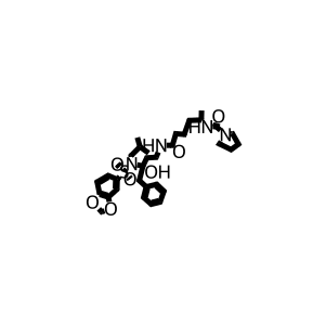 CC(C)CN(C(O)(CCNC(=O)CCCC(C)NC(=O)N1CCCC1)Cc1ccccc1)S(=O)(=O)c1ccc2c(c1)OCO2